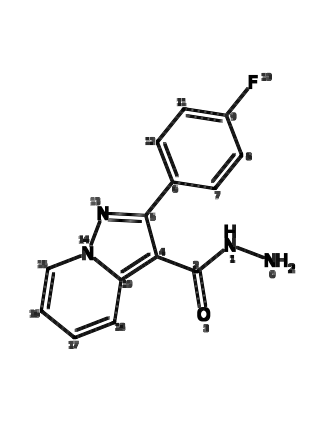 NNC(=O)c1c(-c2ccc(F)cc2)nn2ccccc12